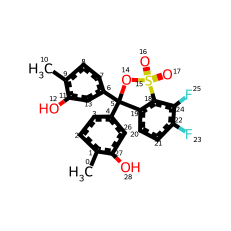 Cc1ccc(C2(c3ccc(C)c(O)c3)OS(=O)(=O)c3c2ccc(F)c3F)cc1O